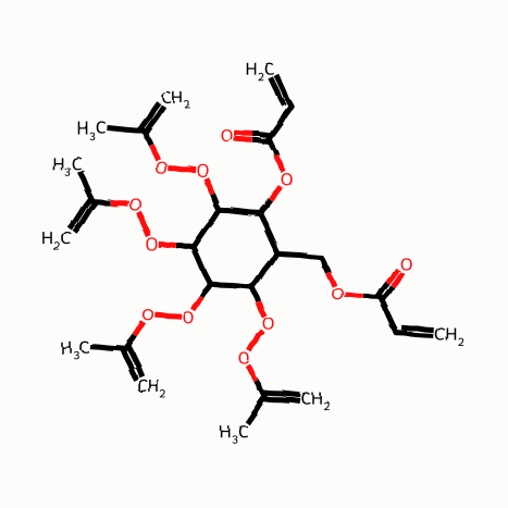 C=CC(=O)OCC1C(OOC(=C)C)C(OOC(=C)C)C(OOC(=C)C)C(OOC(=C)C)C1OC(=O)C=C